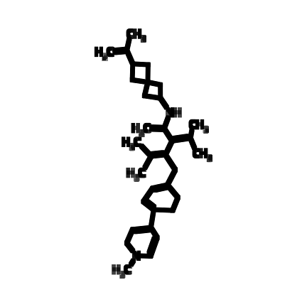 C=C(NC1CC2(C1)CC(C(=C)C)C2)C(=C(C)C)C(CC1=CC=C(C2=CCN(C)C=C2)CC1)=C(C)C